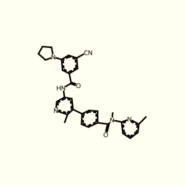 Cc1cccc(N(C)C(=O)c2ccc(-c3cc(NC(=O)c4cc(C#N)cc(N5CCCC5)c4)cnc3C)cc2)n1